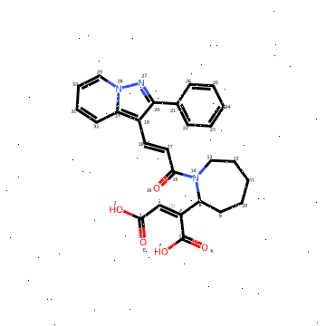 O=C(O)/C=C(\C(=O)O)C1CCCCCN1C(=O)C=Cc1c(-c2ccccc2)nn2ccccc12